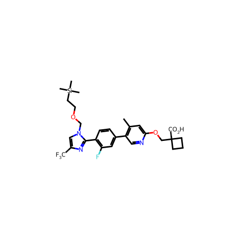 Cc1cc(OCC2(C(=O)O)CCC2)ncc1-c1ccc(-c2nc(C(F)(F)F)cn2COCC[Si](C)(C)C)c(F)c1